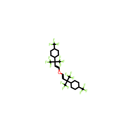 FC(F)(F)C1CCC(C(C=COC=CC(C2CCC(C(F)(F)F)CC2)(C(F)(F)F)C(F)(F)F)(C(F)(F)F)C(F)(F)F)CC1